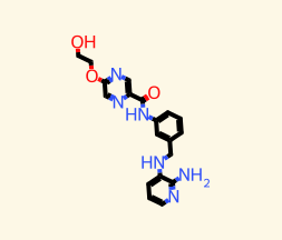 Nc1ncccc1NCc1cccc(NC(=O)c2cnc(OCCO)cn2)c1